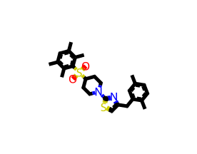 Cc1ccc(C)c(Cc2csc(N3CCC(S(=O)(=O)c4c(C)c(C)cc(C)c4C)CC3)n2)c1